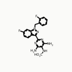 Nc1nc(-c2nn(Cc3ccccc3F)c3cc(F)ccc23)nc(N)c1NC(=O)O